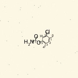 Cc1cc(C)c(OC(N)=O)cc1Cl